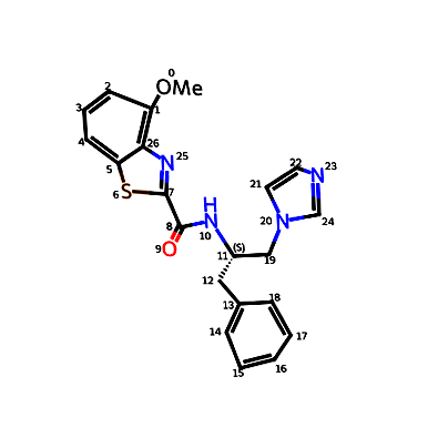 COc1cccc2sc(C(=O)N[C@@H](Cc3ccccc3)Cn3ccnc3)nc12